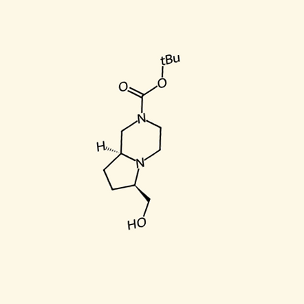 CC(C)(C)OC(=O)N1CCN2[C@@H](CO)CC[C@H]2C1